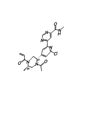 C=CC(=O)N1C[C@H](c2cc(Cl)nc(-c3cc(C(=O)NC)ncn3)c2)N(C(C)=O)C[C@H]1C